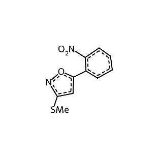 CSc1cc(-c2ccccc2[N+](=O)[O-])on1